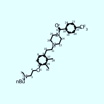 CCCCN(C)CCOc1ccc(CCN2CCN(C(=O)c3ccc(C(F)(F)F)cc3)CC2)c(C)c1C